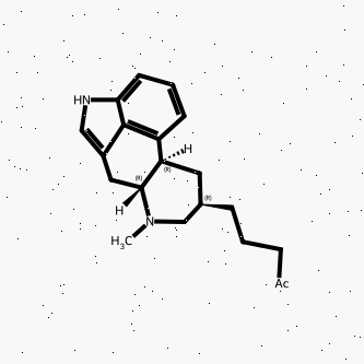 CC(=O)CCC[C@@H]1C[C@@H]2c3cccc4[nH]cc(c34)C[C@H]2N(C)C1